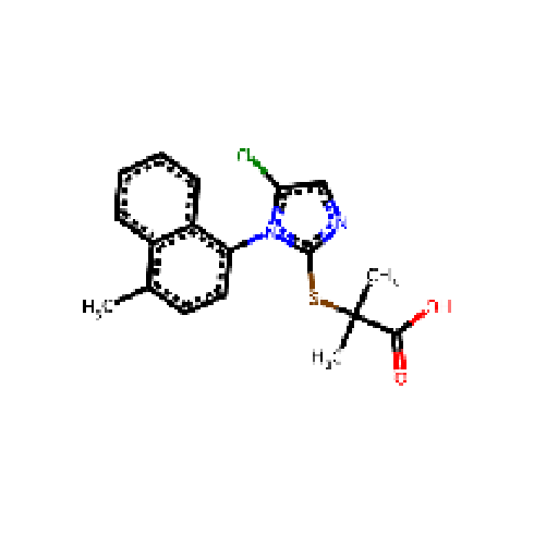 Cc1ccc(-n2c(Cl)cnc2SC(C)(C)C(=O)O)c2ccccc12